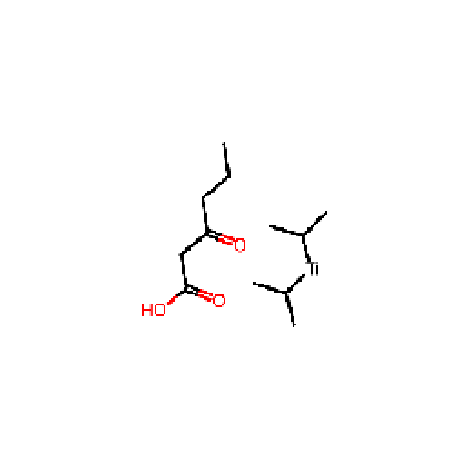 CCCC(=O)CC(=O)O.C[CH](C)[Ti][CH](C)C